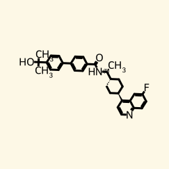 C[C@@H](NC(=O)c1ccc(-c2ccc(C(C)(C)O)cc2)cc1)[C@H]1CC[C@H](c2ccnc3ccc(F)cc32)CC1